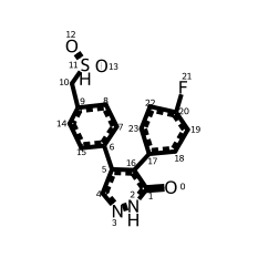 O=c1[nH]ncc(-c2ccc(C[SH](=O)=O)cc2)c1-c1ccc(F)cc1